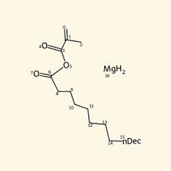 C=C(C)C(=O)OC(=O)CCCCCCCCCCCCCCCCC.[MgH2]